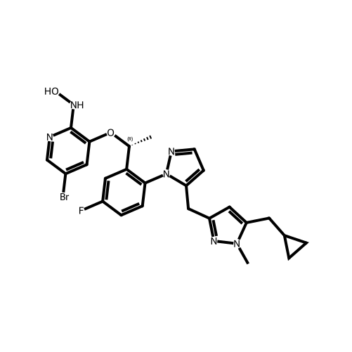 C[C@@H](Oc1cc(Br)cnc1NO)c1cc(F)ccc1-n1nccc1Cc1cc(CC2CC2)n(C)n1